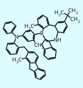 Cc1cc(N(c2ccccc2)c2ccccc2Cc2ccc3c(c2C)Cc2ccccc2-3)ccc1B1C2=C(NC3C=CC(C(C)(C)C)=CC3c3cccc(C)c31)c1ccccc1C2